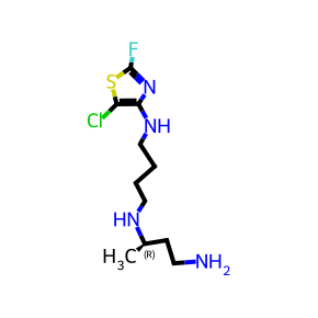 C[C@H](CCN)NCCCCNc1nc(F)sc1Cl